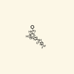 CN1C(NC(=O)c2ccccc2)=N[C@](C)(c2nc(NC(=O)c3ccn(C(F)F)n3)cs2)CS1(O)O